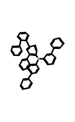 c1ccc(-c2ccc(N(c3cccc(-c4ccccc4)c3)c3ccc(-c4ccccc4-c4ccccc4)cc3-c3ccccc3)cc2)cc1